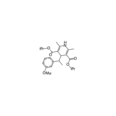 COc1cccc(C(C)C2C(C(=O)OC(C)C)=C(C)NC(C)=C2C(=O)OC(C)C)c1